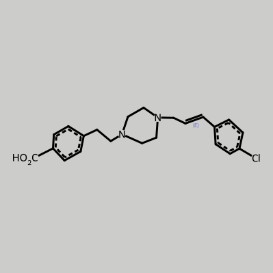 O=C(O)c1ccc(CCN2CCN(C/C=C/c3ccc(Cl)cc3)CC2)cc1